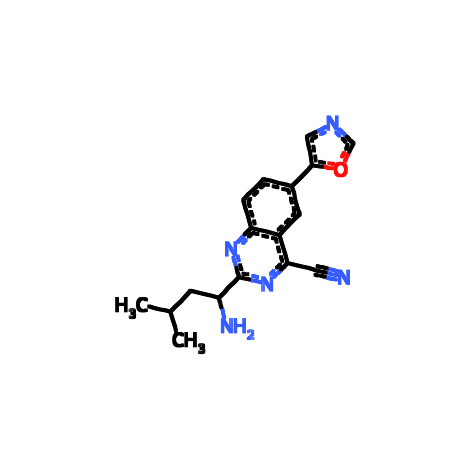 CC(C)CC(N)c1nc(C#N)c2cc(-c3cnco3)ccc2n1